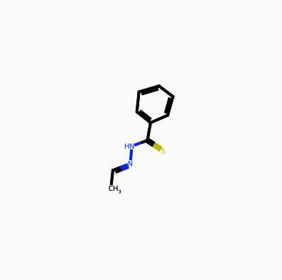 CC=NNC(=S)c1ccccc1